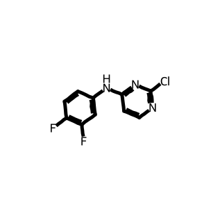 Fc1ccc(Nc2ccnc(Cl)n2)cc1F